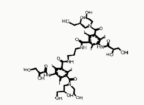 O=C(NCCCNC(=O)c1c(I)c(NC(=O)C(O)CO)c(I)c(C(=O)N(CCO)CC(O)CO)c1I)c1c(I)c(NC(=O)C(O)CO)c(I)c(C(=O)N(CCO)CC(O)CO)c1I